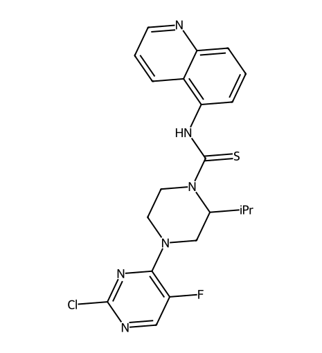 CC(C)C1CN(c2nc(Cl)ncc2F)CCN1C(=S)Nc1cccc2ncccc12